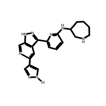 CCn1cc(-c2cc3c(-c4cccc(NC5CCCCNC5)n4)n[nH]c3cn2)cn1